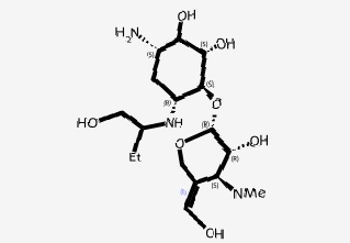 CCC(CO)N[C@@H]1C[C@H](N)C(O)[C@H](O)[C@H]1O[C@H]1OC/C(=C/O)[C@H](NC)[C@H]1O